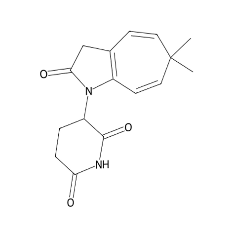 CC1(C)C=CC2=C(C=C1)N(C1CCC(=O)NC1=O)C(=O)C2